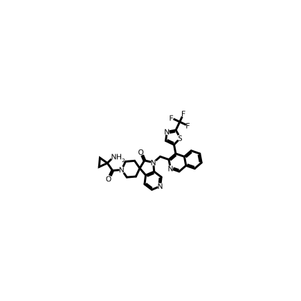 NC1(C(=O)N2CCC3(CC2)C(=O)N(Cc2ncc4ccccc4c2-c2cnc(C(F)(F)F)s2)c2cnccc23)CC1